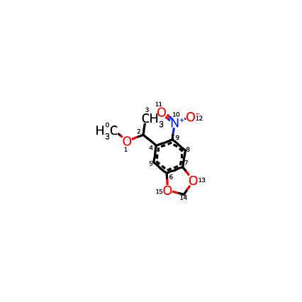 COC(C)c1cc2c(cc1[N+](=O)[O-])OCO2